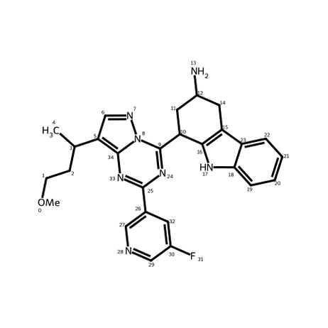 COCCC(C)c1cnn2c(C3CC(N)Cc4c3[nH]c3ccccc43)nc(-c3cncc(F)c3)nc12